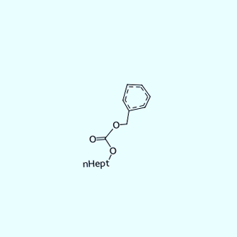 CCCCCCCOC(=O)OCc1ccccc1